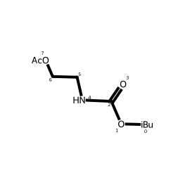 CCC(C)OC(=O)NCCOC(C)=O